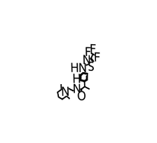 CC(C(=O)NCCN1C(C)CCCC1C)c1ccc(Nc2nc(C(F)(F)F)cs2)cc1